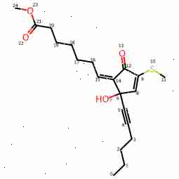 CCCCC#CC1(O)C=C(SC)C(=O)C1=CCCCCCC(=O)OC